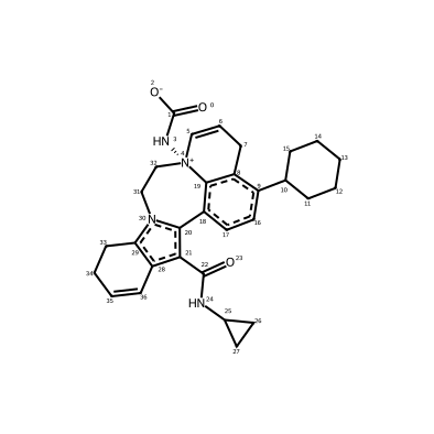 O=C([O-])N[N@+]12C=CCc3c(C4CCCCC4)ccc(c31)-c1c(C(=O)NC3CC3)c3c(n1CC2)CCC=C3